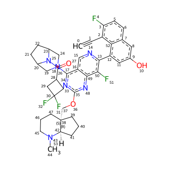 C#Cc1c(F)ccc2cc(O)cc(-c3ncc4c(N5CC6CCC(C5)N6C(=O)C5CC(F)(F)C5)nc(OC[C@]56CCC[C@H]5N(C)CCC6)nc4c3F)c12